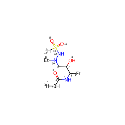 [3H]BC(=O)NC(CC)C(O)CN(CC)NS([3H])(=O)=O